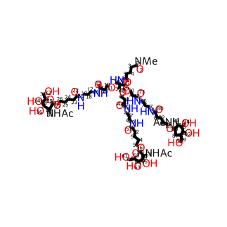 CNC(=O)CCCC(=O)NC(COCCC(=O)NCCCNC(=O)CCCCO[C@@H]1OC(CO)[C@H](O)C(O)[C@@H]1NC(C)=O)(COCCC(=O)NCCCNC(=O)CCCCO[C@@H]1OC(CO)[C@H](O)C(O)[C@@H]1NC(C)=O)COCCC(=O)NCCCNC(=O)CCCCO[C@@H]1CC(CO)[C@H](O)C(O)[C@@H]1NC(C)=O